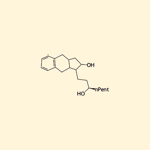 CCCCC[C@@H](O)CCC1C(O)CC2Cc3[c]cccc3CC21